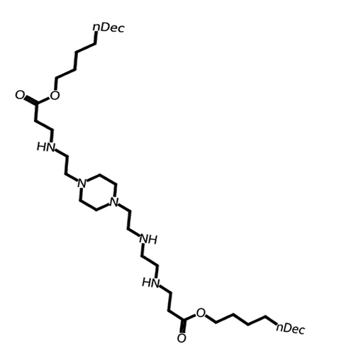 CCCCCCCCCCCCCCOC(=O)CCNCCNCCN1CCN(CCNCCC(=O)OCCCCCCCCCCCCCC)CC1